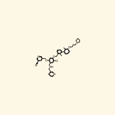 Cc1c(COc2cc(OCc3cncc(C#N)c3)c(CNCc3cccnc3)cc2Cl)cccc1-c1cccc(OCCCN2CCCC2)c1C